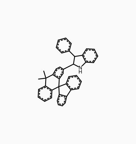 CC1(C)c2ccccc2C2(c3ccccc3-c3ccccc32)c2cc(C3Nc4ccccc4C3c3ccccc3)ccc21